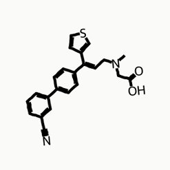 CN(CC=C(c1ccc(-c2cccc(C#N)c2)cc1)c1ccsc1)CC(=O)O